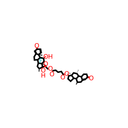 C[C@@H]1CC2=CC(=O)CCC2C2C1C1CC[C@H](OC(=O)CCCC(=O)OCC(=O)[C@@]3(O)[C@@H](C)CC4C5CCC6=CC(=O)C=C[C@]6(C)[C@@]5(F)[C@@H](O)C[C@@]43C)[C@@]1(C)C[C@@H]2C